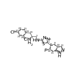 N[C@H](CNc1nnc(-c2cc3cn[nH]c3cc2F)s1)Cc1ccc(Cl)cc1Cl